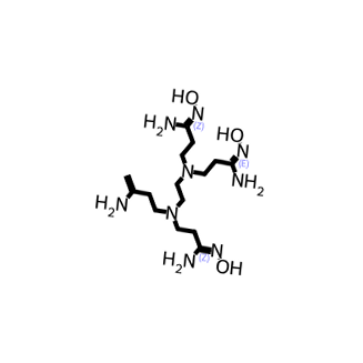 C=C(N)CCN(CC/C(N)=N/O)CCN(CC/C(N)=N/O)CC/C(N)=N\O